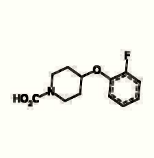 O=C(O)N1CCC(Oc2ccccc2F)CC1